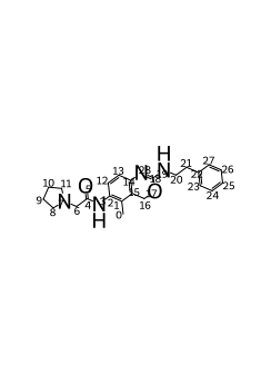 Cc1c(NC(=O)CN2CCCC2)ccc2c1COC(NCCc1ccccc1)=N2